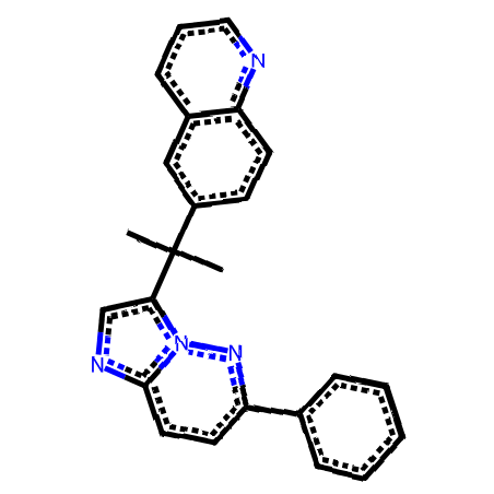 CC(C)(c1ccc2ncccc2c1)c1cnc2ccc(-c3ccccc3)nn12